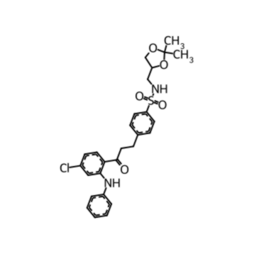 CC1(C)OCC(CNS(=O)(=O)c2ccc(CCC(=O)c3ccc(Cl)cc3Nc3ccccc3)cc2)O1